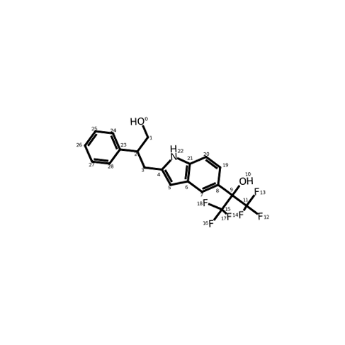 OCC(Cc1cc2cc(C(O)(C(F)(F)F)C(F)(F)F)ccc2[nH]1)c1ccccc1